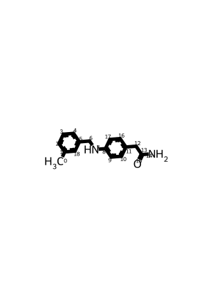 Cc1cccc(CNc2ccc(CC(N)=O)cc2)c1